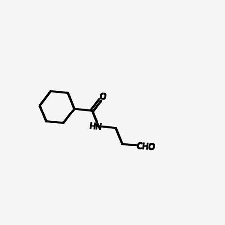 O=CCCNC(=O)C1CCCCC1